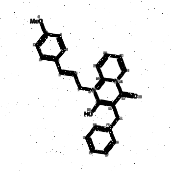 COc1ccc(/C=C/C[n+]2c(O)c(Cc3ccccc3)c(=O)n3ccccc32)cc1